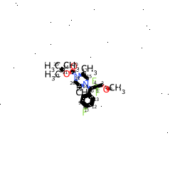 COCC(F)(F)C(c1ccc(F)cc1)N1C[C@H](C)N(C(=O)OC(C)(C)C)C[C@H]1C